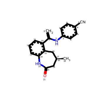 C=C(Nc1ccc(C#N)cc1)c1cccc2c1C[C@@H](C)CC(=O)N2